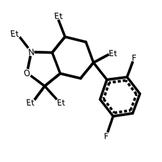 CCC1CC(CC)(c2cc(F)ccc2F)CC2C1N(CC)OC2(CC)CC